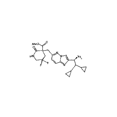 COC(=O)C1(Cc2ccc3nc([C@@H](N)C(C4CC4)C4CC4)cn3n2)CC(F)(F)CNC1=O